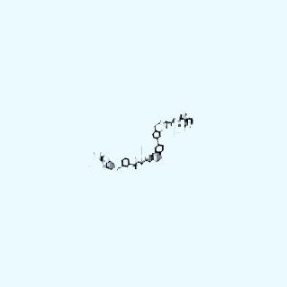 Cn1ccnc1C(=O)NCC(O)CN1CCc2ccc(-c3ccc4c(c3)CN(CC(O)CNC(=O)c3cccc(CN5CCN(CC(N)=O)CC5)c3)CC4)cc2C1